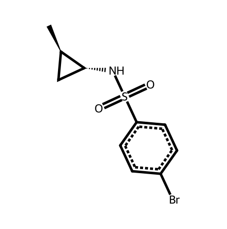 C[C@@H]1C[C@H]1NS(=O)(=O)c1ccc(Br)cc1